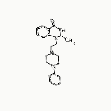 CC1NC(=O)c2ccccc2N1CCN1CCN(c2ccccc2)CC1